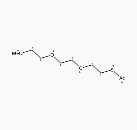 COCCOCCOCCSC(C)=O